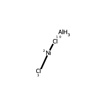 [AlH3].[Cl][Ni][Cl]